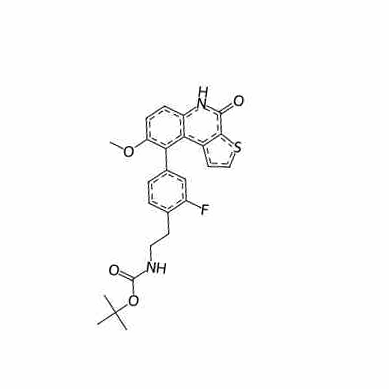 COc1ccc2[nH]c(=O)c3sccc3c2c1-c1ccc(CCNC(=O)OC(C)(C)C)c(F)c1